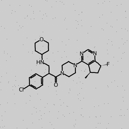 C[C@@H]1C[C@@H](F)c2ncnc(N3CCN(C(=O)C(CNC4CCOCC4)c4ccc(Cl)cc4)CC3)c21